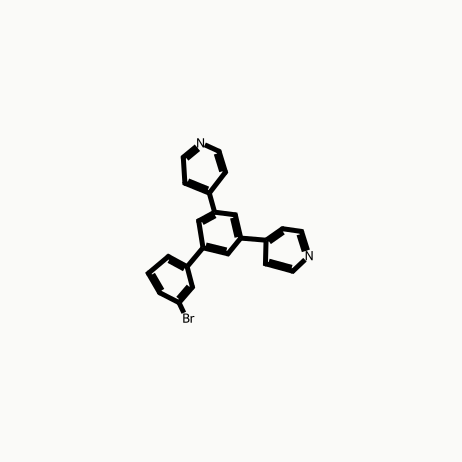 Brc1cccc(-c2cc(-c3ccncc3)cc(-c3ccncc3)c2)c1